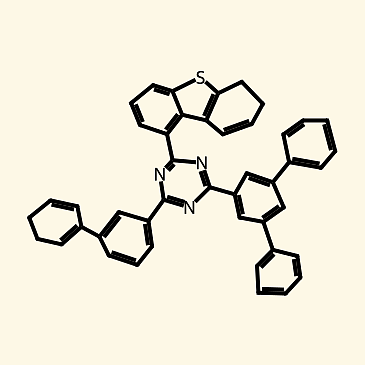 C1=CC(c2cccc(-c3nc(-c4cc(-c5ccccc5)cc(-c5ccccc5)c4)nc(-c4cccc5sc6c(c45)C=CCC6)n3)c2)=CCC1